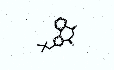 CC(C)(C)Cc1nc2c(s1)C(=O)CC(=O)c1ccccc1-2